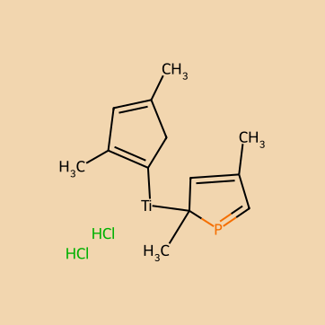 CC1=C[C](C)([Ti][C]2=C(C)C=C(C)C2)P=C1.Cl.Cl